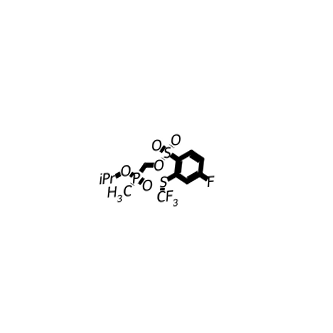 CC(C)OP(C)(=O)COS(=O)(=O)c1ccc(F)cc1SC(F)(F)F